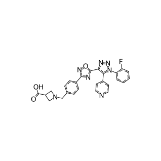 O=C(O)C1CN(Cc2ccc(-c3noc(-c4nnn(-c5ccccc5F)c4-c4ccncc4)n3)cc2)C1